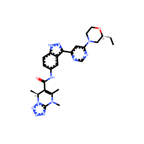 CC[C@@H]1CN(c2cc(-c3n[nH]c4ccc(NC(=O)C5=C(C)N(C)c6nnnn6[C@H]5C)cc34)ncn2)CCO1